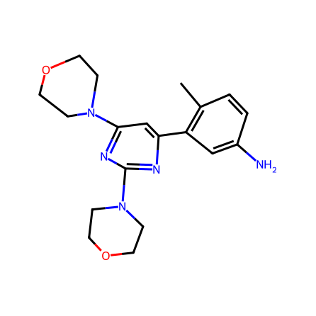 Cc1ccc(N)cc1-c1cc(N2CCOCC2)nc(N2CCOCC2)n1